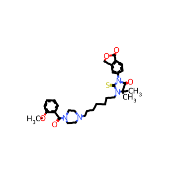 COc1ccccc1C(=O)N1CCN(CCCCCCCN2C(=S)N(c3ccc4c(c3)COC4=O)C(=O)C2(C)C)CC1